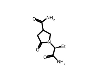 CC[C@@H](C(N)=O)N1CC(C(N)=O)CC1=O